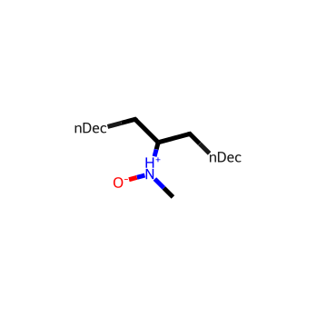 CCCCCCCCCCCC(CCCCCCCCCCC)[NH+](C)[O-]